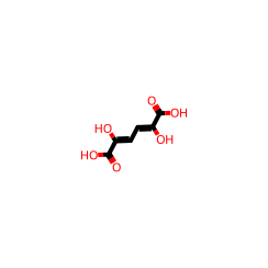 O=C(O)C(O)=CC=C(O)C(=O)O